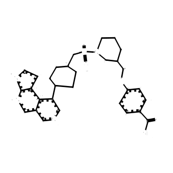 NC(=O)c1ccc(OCC2CCCN(S(=O)(=O)CC3CCC(c4cncc5cnc6[nH]ccc6c45)CC3)C2)cc1